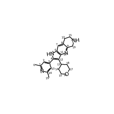 Cc1cc(-c2[nH]c3cc4c(nc3c2C2CCOCC2)CNCC4)cc(C)n1